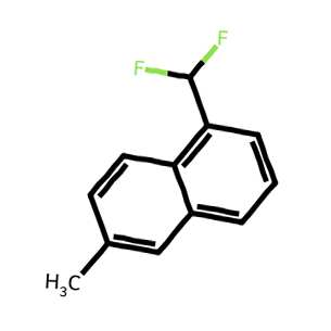 Cc1ccc2c([C](F)F)cccc2c1